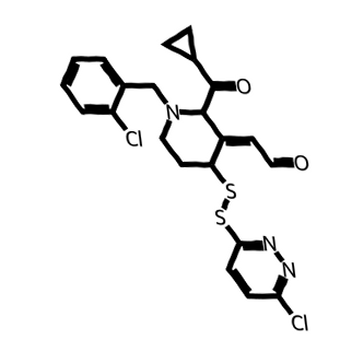 O=C/C=C1\C(SSc2ccc(Cl)nn2)CCN(Cc2ccccc2Cl)C1C(=O)C1CC1